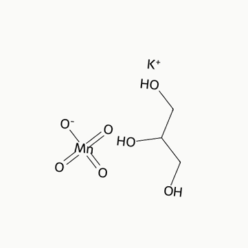 OCC(O)CO.[K+].[O]=[Mn](=[O])(=[O])[O-]